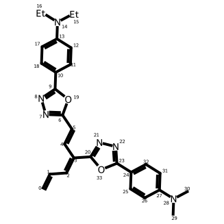 C=C/C=C(\C=C\c1nnc(-c2ccc(N(CC)CC)cc2)o1)c1nnc(-c2ccc(N(C)C)cc2)o1